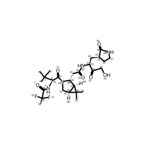 CC(C)(C)[C@H](NC(=O)C(F)(F)F)C(=O)N1C[C@H]2[C@@H]([C@H]1CC(=O)N[C@@H](C[C@@H]1CCNC1=O)C(=O)CO)C2(C)C